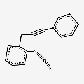 [N-]=[N+]=Nc1ccccc1CC#Cc1ccccc1